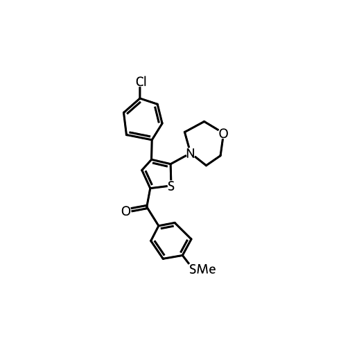 CSc1ccc(C(=O)c2cc(-c3ccc(Cl)cc3)c(N3CCOCC3)s2)cc1